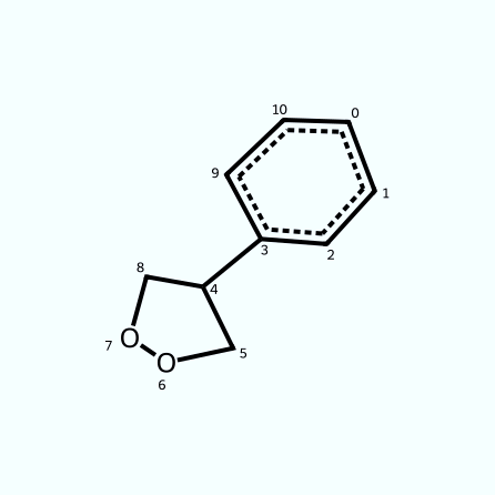 c1ccc(C2COOC2)cc1